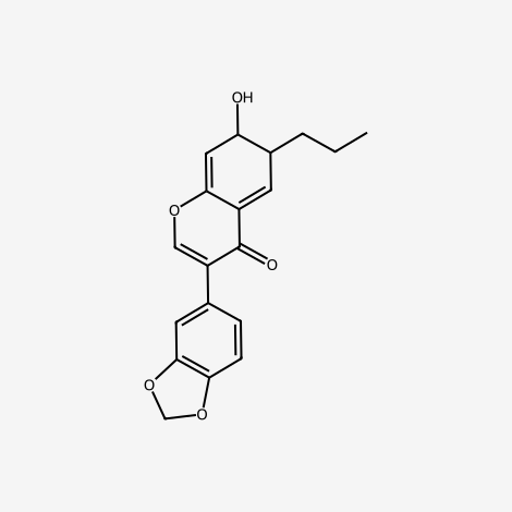 CCCC1C=c2c(occ(-c3ccc4c(c3)OCO4)c2=O)=CC1O